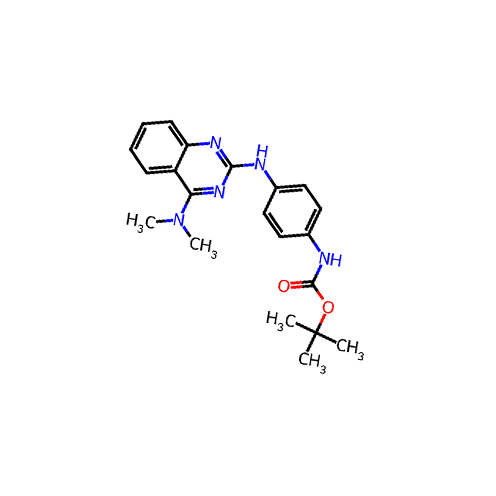 CN(C)c1nc(Nc2ccc(NC(=O)OC(C)(C)C)cc2)nc2ccccc12